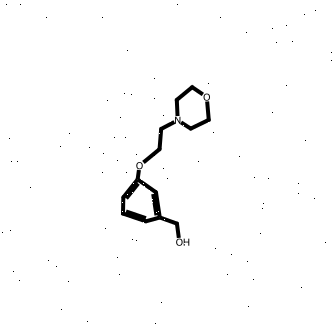 OCc1cccc(OCCN2CCOCC2)c1